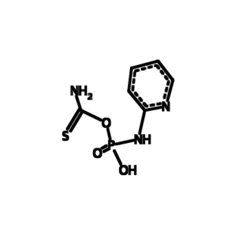 NC(=S)OP(=O)(O)Nc1ccccn1